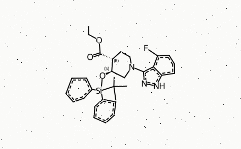 CCOC(=O)[C@@H]1CCN(c2n[nH]c3cccc(F)c23)C[C@H]1O[Si](c1ccccc1)(c1ccccc1)C(C)(C)C